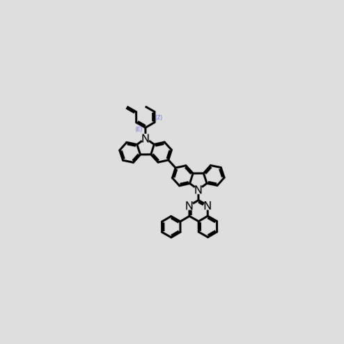 C=C/C=C(\C=C/C)n1c2ccccc2c2cc(-c3ccc4c(c3)c3ccccc3n4-c3nc(-c4ccccc4)c4ccccc4n3)ccc21